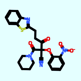 N#CC(Oc1ccccc1[N+](=O)[O-])(C(=O)CCc1nc2ccccc2s1)C(=O)N1CCCCC1